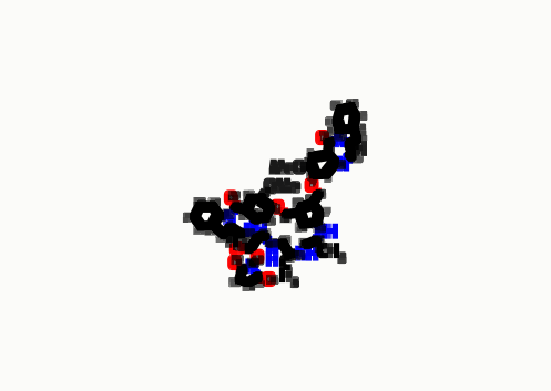 COc1cc2c(cc1OCc1cc(COc3cc4c(cc3OC)C(=O)N3C5=C(CCC=C5)C[C@H]3CN4)cc(N[C@@H](C)CN[C@@H](C)CNCCC(=O)ON3C(=O)CCC3=O)c1)N=C[C@@H]1Cc3ccccc3N1C2=O